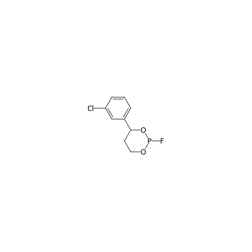 FP1OCCC(c2cccc(Cl)c2)O1